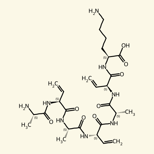 C=C[C@H](NC(=O)[C@H](C)N)C(=O)N[C@@H](C)C(=O)N[C@@H](C=C)C(=O)N[C@@H](C)C(=O)N[C@@H](C=C)C(=O)N[C@@H](CCCCN)C(=O)O